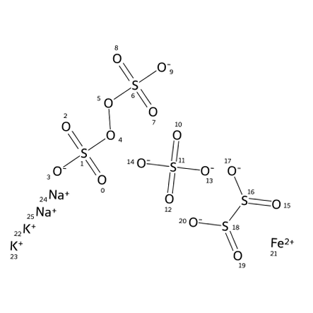 O=S(=O)([O-])OOS(=O)(=O)[O-].O=S(=O)([O-])[O-].O=S([O-])S(=O)[O-].[Fe+2].[K+].[K+].[Na+].[Na+]